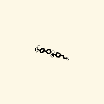 N#C/C=C/C1CCC(C(=O)OC2CCC(c3ccc(C(F)(F)F)cc3)CC2)CC1